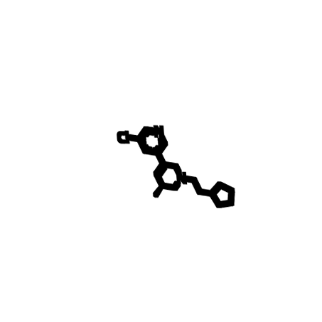 C[C@H]1C=C(c2cncc(Cl)c2)CN(CCC2CCCC2)C1